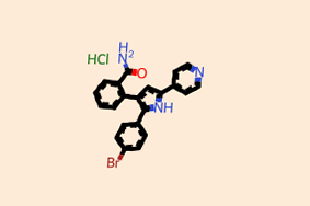 Cl.NC(=O)c1ccccc1-c1cc(-c2ccncc2)[nH]c1-c1ccc(Br)cc1